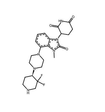 Cn1c(=O)n(C2CCC(=O)NC2=O)c2cccc(N3CCN([C@@H]4CCNCC4(F)F)CC3)c21